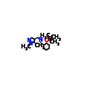 Cc1c(/C=N\Cc2ccccc2O[Si](C)(C)C)cnn1C